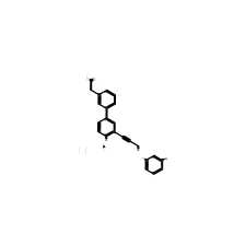 COc1ccc(-c2cccc(CC(=O)O)c2)cc1C#CCOc1cccc(Cl)c1